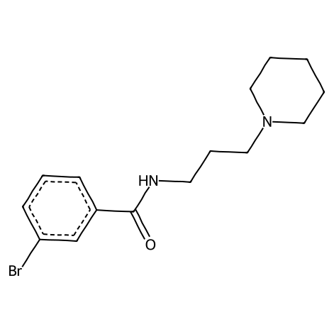 O=C(NCCCN1CCCCC1)c1cccc(Br)c1